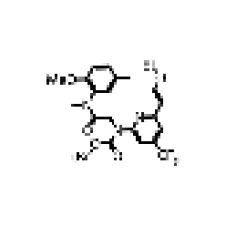 CCO/C=C/c1cc(C(F)(F)F)cc(N(CC(=O)N(C)c2cc(C)ccc2OC)C(=O)OC(C)(C)C)n1